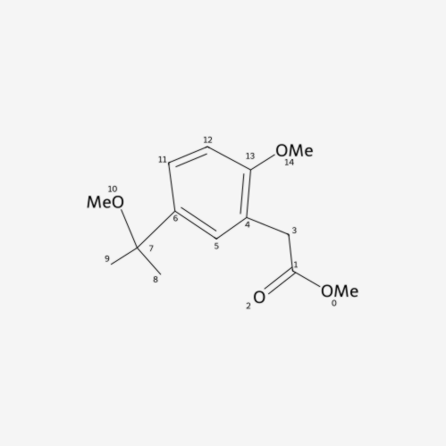 COC(=O)Cc1cc(C(C)(C)OC)ccc1OC